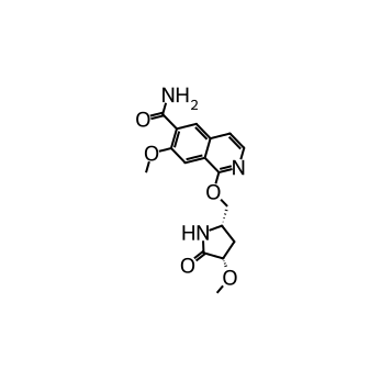 COc1cc2c(OC[C@@H]3C[C@H](OC)C(=O)N3)nccc2cc1C(N)=O